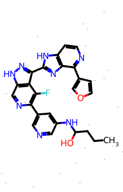 CCCC(O)Nc1cncc(-c2ncc3[nH]nc(-c4nc5c(-c6ccoc6)nccc5[nH]4)c3c2F)c1